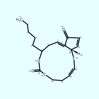 CCCCCC1C/C=C2/C(=O)C=C[C@@H]2C/C=C\CCCC(=O)O1